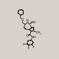 Cn1cc2c(c1C(=O)Nc1cc(F)c(F)c(F)c1)C=CC(COCc1ccccc1)NS2=N